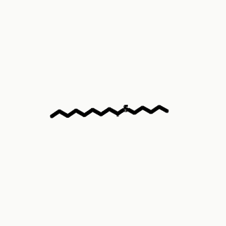 CCCCCCCC[CH]SCCCCC